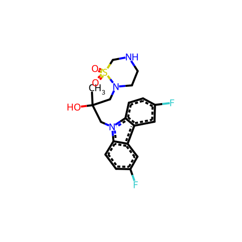 CC(O)(CN1CCNCS1(=O)=O)Cn1c2ccc(F)cc2c2cc(F)ccc21